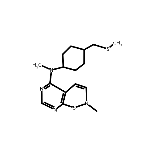 CSCC1CCC(N(C)c2ncnc3c2C=CN(I)S3)CC1